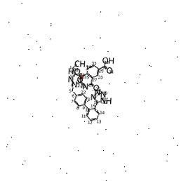 CCc1nn(Cc2ccc(-c3ccccc3-c3nnn[nH]3)cc2)c(=NC(=O)c2cc(C(=O)O)ccc2C(=O)O)s1